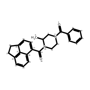 CC1CN(C(=O)c2ccccc2)CCN1C(=O)c1ccc2c3c(cccc13)CC2